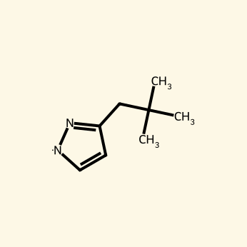 CC(C)(C)CC1=N[N]C=C1